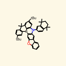 CC(C)(C)c1ccc2c(c1)B1c3cc4oc5ccccc5c4cc3N(c3ccc4c(c3)C(C)(C)CCC4(C)C)c3cc(C(C)(C)C)cc(c31)C2(C)C